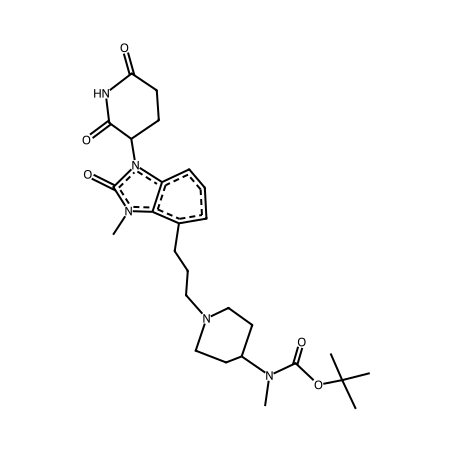 CN(C(=O)OC(C)(C)C)C1CCN(CCCc2cccc3c2n(C)c(=O)n3C2CCC(=O)NC2=O)CC1